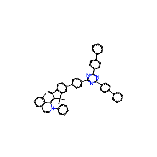 C=C1/C(=C2\c3c(C)cccc3C=CN2c2ccccc2)C(C)(C)c2cc(-c3ccc(-c4nc(-c5ccc(-c6ccccc6)cc5)nc(-c5ccc(-c6ccccc6)cc5)n4)cc3)ccc21